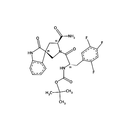 CC(C)(C)OC(=O)N[C@@H](Cc1cc(F)c(F)cc1F)C(=O)N1C[C@]2(C[C@H]1C(N)=O)C(=O)Nc1ccccc12